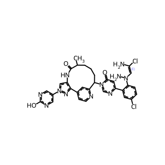 CC1CCCC(n2cnc(-c3cc(Cl)ccc3N(N)/C=C(\N)Cl)cc2=O)c2cc(ccn2)-c2nn(-c3cnc(O)nc3)cc2NC1=O